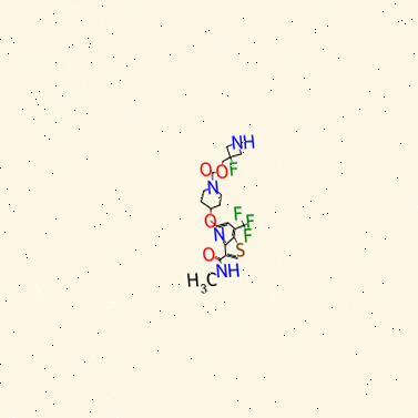 CNC(=O)c1csc2c(C(F)(F)F)cc(OC3CCN(C(=O)OCC4(F)CNC4)CC3)nc12